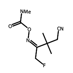 CNC(=O)ON=C(CF)C(C)(C)CC#N